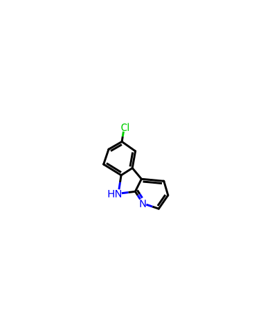 Clc1ccc2[nH]c3ncccc3c2c1